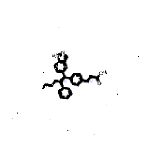 CCCC/C(=C(/c1ccc(/C=C/C(=O)O)cc1)c1ccc2[nH]ncc2c1)c1ccccc1